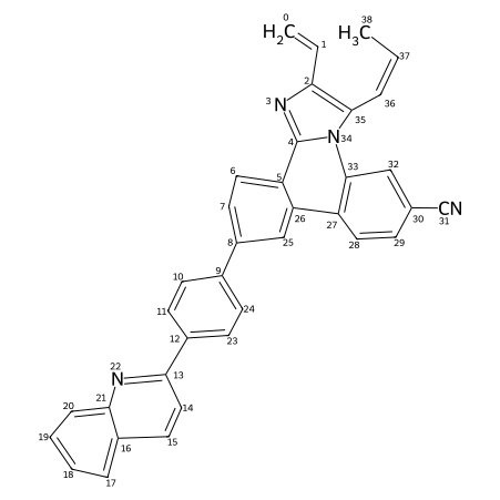 C=Cc1nc2c3ccc(-c4ccc(-c5ccc6ccccc6n5)cc4)cc3c3ccc(C#N)cc3n2c1/C=C\C